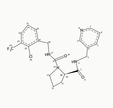 O=C(NCc1cccnc1)[C@H]1CCCN1C(=O)NCc1cccc(C(F)(F)F)c1Cl